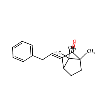 CC12CCC(C(=CCc3ccccc3)C1=O)C2(C)C